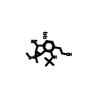 CO[Si]1(C)C2=C1[CH]([Zr+2])c1ccc(CCO)c(NC(C)(C)C)c12.[Cl-].[Cl-]